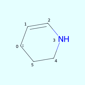 [C]1C=CNCC1